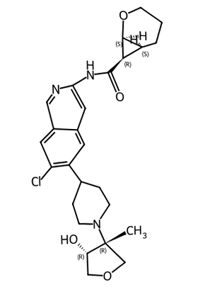 C[C@@]1(N2CCC(c3cc4cc(NC(=O)[C@@H]5[C@@H]6CCCO[C@@H]65)ncc4cc3Cl)CC2)COC[C@@H]1O